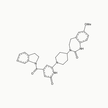 COc1ccc2c(c1)CCN(C1CCN(c3cc(C(=O)N4CCc5ccccc54)cc(=O)[nH]3)CC1)C(=O)N2